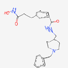 O=C(CCc1cccc(C(=O)NCC2CCN(Cc3ccccc3)CC2)c1)NO